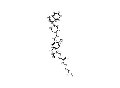 CCCCOC(=O)OCN1c2cc(Cl)c(CCN3CCN(c4nsc5ccccc45)CC3)cc2CC1O